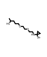 CC(S)CCCOCCOCCNC1(C(C)C)CC1